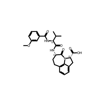 COc1cccc(C(=O)N[C@H](C(=O)N[C@H]2CCc3cccc4c3N(C2=O)[C@H](C(=O)O)C4)C(C)C)c1